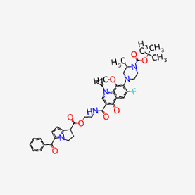 COc1c(N2CCN(C(=O)OC(C)(C)C)C(C)C2)c(F)cc2c(=O)c(C(=O)NCCOC(=O)C3CCn4c(C(=O)c5ccccc5)ccc43)cn(C3CC3)c12